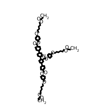 C=CC(=O)OCCCCCCOc1ccc(OC(=O)c2ccc(-c3ccc4c(c3)nc(Oc3ccc(OCCCCCCOC(=O)C=C)cc3)c3cc(-c5ccc(C(=O)Oc6ccc(OCCCCCCOC(=O)C=C)cc6)cc5)ccc34)cc2)cc1